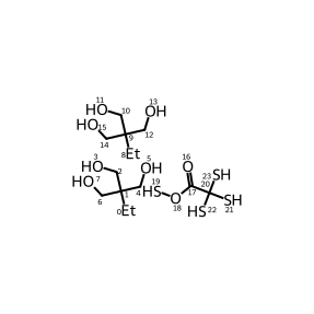 CCC(CO)(CO)CO.CCC(CO)(CO)CO.O=C(OS)C(S)(S)S